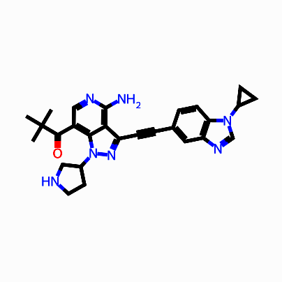 CC(C)(C)C(=O)c1cnc(N)c2c(C#Cc3ccc4c(c3)ncn4C3CC3)nn(C3CCNC3)c12